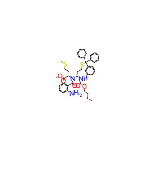 CCCCOC(=O)NC(CCSC(c1ccccc1)(c1ccccc1)c1ccccc1)N(C(=O)c1ccccc1N)[C@@H](CCSC)C(=O)OC